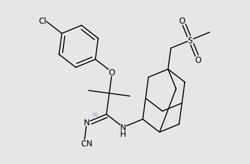 CC(C)(Oc1ccc(Cl)cc1)/C(=N/C#N)NC1C2CC3CC1CC(CS(C)(=O)=O)(C3)C2